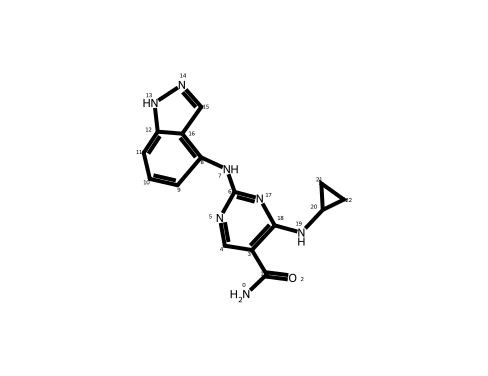 NC(=O)c1cnc(Nc2cccc3[nH]ncc23)nc1NC1CC1